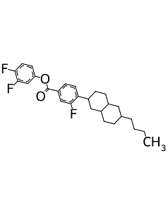 CCCCC1CCC2CC(c3ccc(C(=O)Oc4ccc(F)c(F)c4)cc3F)CCC2C1